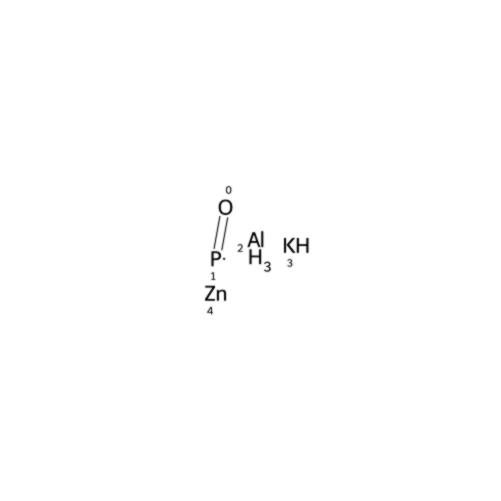 O=[P].[AlH3].[KH].[Zn]